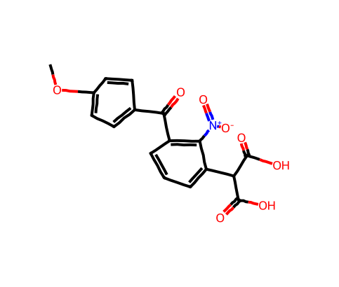 COc1ccc(C(=O)c2cccc(C(C(=O)O)C(=O)O)c2[N+](=O)[O-])cc1